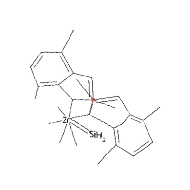 CC1=Cc2c(C)ccc(C)c2[CH]1[Zr]([CH3])([CH3])([CH3])([CH3])(=[SiH2])[CH]1C(C)=Cc2c(C)ccc(C)c21